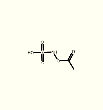 CC(=O)ONS(=O)(=O)O